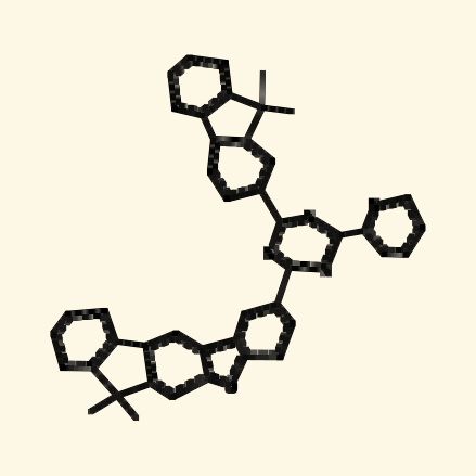 CC1(C)c2ccccc2-c2ccc(-c3nc(-c4ccc5oc6cc7c(cc6c5c4)-c4ccccc4C7(C)C)nc(-c4ccccn4)n3)cc21